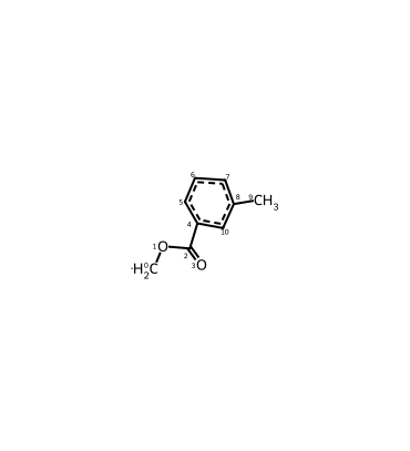 [CH2]OC(=O)c1cccc(C)c1